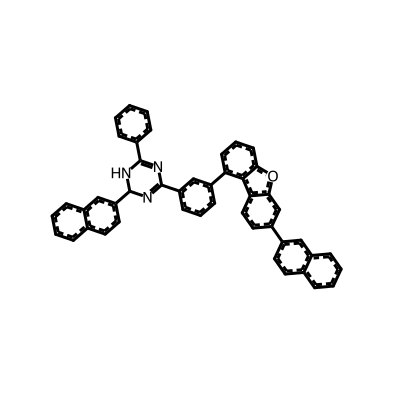 c1ccc(C2=NC(c3cccc(-c4cccc5oc6cc(-c7ccc8ccccc8c7)ccc6c45)c3)=NC(c3ccc4ccccc4c3)N2)cc1